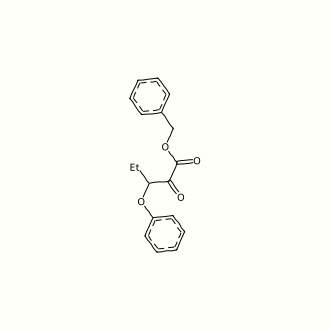 CCC(Oc1ccccc1)C(=O)C(=O)OCc1ccccc1